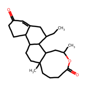 CCC1CC2=CC(=O)CCC2C2CCC3(C)CCCC(=O)OC(C)CC3C12